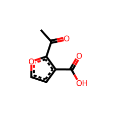 CC(=O)c1occc1C(=O)O